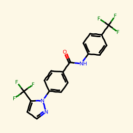 O=C(Nc1ccc(C(F)(F)F)cc1)c1ccc(-n2nccc2C(F)(F)F)cc1